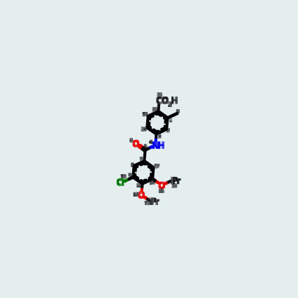 Cc1cc(NC(=O)c2cc(Cl)c(OC(C)C)c(OC(C)C)c2)ccc1C(=O)O